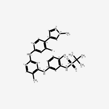 Cc1cnc(Nc2cc(F)c(-c3cnn(C)c3)cn2)nc1Nc1ccc(Cl)c(NS(=O)(=O)C(C)(C)C)c1